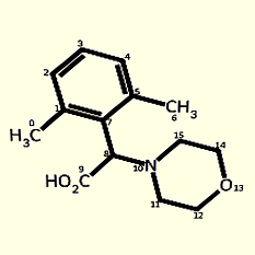 Cc1cccc(C)c1C(C(=O)O)N1CCOCC1